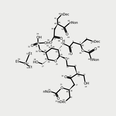 CCCCCCCCCCC[C@H](CC(=O)N[C@@H]1[C@@H](OCC[C@@H](CO)C(=O)C[C@@H](CCCCCCCCCCC)OC(=O)CCCCCCCCC)O[C@H](CO)[C@@H](OP(=O)(O)O)[C@@H]1OC(=O)C[C@@H](CCCCCCCCCCC)C(=O)CCCCCCCCC)OC(=O)CCCCCCCCC.CCN(CC)CC